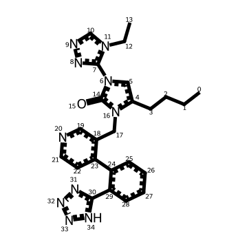 CCCCc1cn(-c2nncn2CC)c(=O)n1Cc1cnccc1-c1ccccc1-c1nnn[nH]1